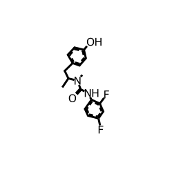 CC(Cc1ccc(O)cc1)N(C)C(=O)Nc1ccc(F)cc1F